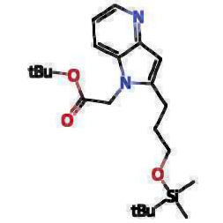 CC(C)(C)OC(=O)Cn1c(CCCO[Si](C)(C)C(C)(C)C)cc2ncccc21